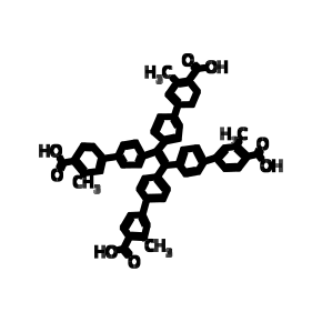 CC1=C(C(=O)O)CCC(c2ccc(C(=C(c3ccc(-c4ccc(C(=O)O)c(C)c4)cc3)c3ccc(-c4ccc(C(=O)O)c(C)c4)cc3)c3ccc(-c4ccc(C(=O)O)c(C)c4)cc3)cc2)=C1